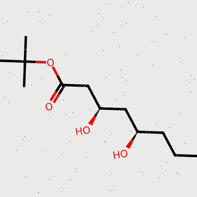 CCC[C@@H](O)C[C@@H](O)CC(=O)OC(C)(C)C